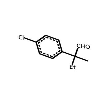 CCC(C)(C=O)c1ccc(Cl)cc1